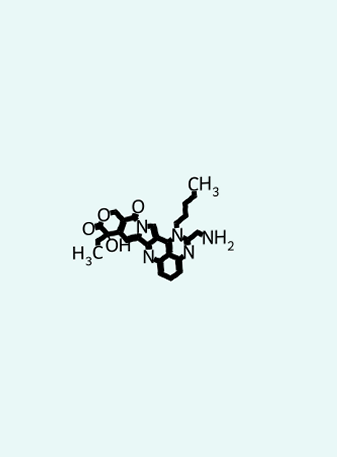 CCCCCn1c(CN)nc2c3c(nc4c(cn5c(=O)c6c(cc45)[C@@](O)(CC)C(=O)OC6)c31)=CCC=2